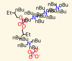 CCCCC(CC)COP(=O)([O-])OCC(CC)CCCC.CCCC[N+](CCCC)(CCCC)CCCC.CCCC[N+](CCCC)(CCCC)CCCC.CCCC[N+](CCCC)(CCCC)CCCC.CCCC[N+](CCCC)(CCCC)CCCC.O=P([O-])([O-])[O-]